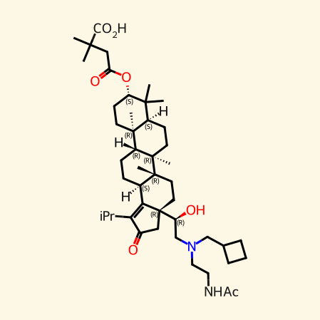 CC(=O)NCCN(CC1CCC1)C[C@H](O)[C@@]12CC[C@]3(C)[C@H](CC[C@@H]4[C@@]5(C)CC[C@H](OC(=O)CC(C)(C)C(=O)O)C(C)(C)[C@H]5CC[C@]43C)C1=C(C(C)C)C(=O)C2